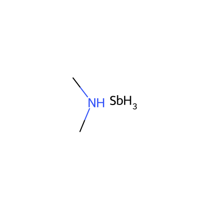 CNC.[SbH3]